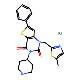 Cc1cnc(Cn2c(=O)n(C3CCNCC3)c(=O)c3sc(-c4ccccc4)cc32)s1.Cl